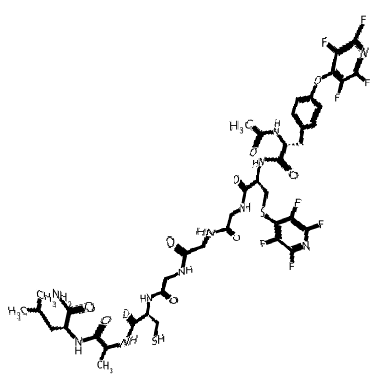 CC(=O)N[C@H](Cc1ccc(Oc2c(F)c(F)nc(F)c2F)cc1)C(=O)N[C@@H](CSc1c(F)c(F)nc(F)c1F)C(=O)NCC(=O)NCC(=O)NCC(=O)N[C@@H](CS)C(=O)NC(C)C(=O)N[C@@H](CC(C)C)C(N)=O